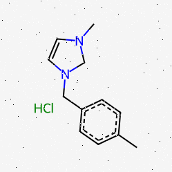 Cc1ccc(CN2C=CN(C)C2)cc1.Cl